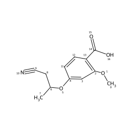 COc1cc(OC(C)CC#N)ccc1C(=O)O